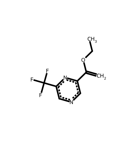 C=C(OCC)c1cncc(C(F)(F)F)n1